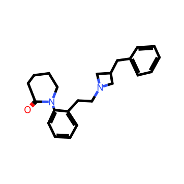 O=C1CCCCN1c1ccccc1CCN1CC(Cc2ccccc2)C1